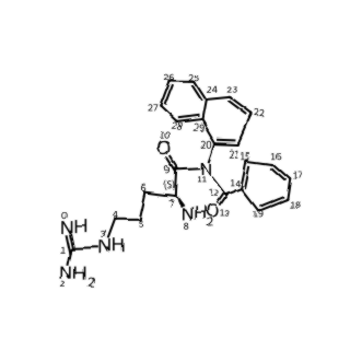 N=C(N)NCCC[C@H](N)C(=O)N(C(=O)c1ccccc1)c1cccc2ccccc12